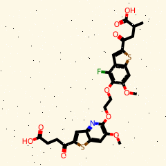 COc1cc2sc(C(=O)CCC(=O)O)cc2nc1OCCOc1c(OC)cc2sc(C(=O)CC(C)C(=O)O)cc2c1F